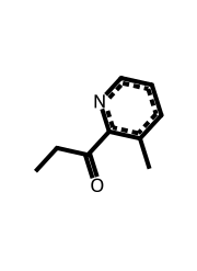 CCC(=O)c1ncccc1C